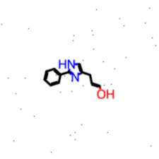 OC=CCc1c[nH]c(-c2ccccc2)n1